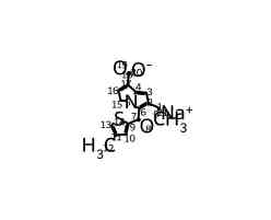 CCc1cc2n(c1C(=O)c1cc(C)cs1)CC=C2C(=O)[O-].[Na+]